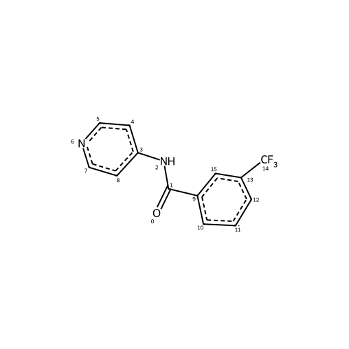 O=C(Nc1ccncc1)c1c[c]cc(C(F)(F)F)c1